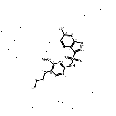 COc1nc(NS(=O)(=O)c2n[nH]c3cc(Cl)ccc23)ncc1OCCF